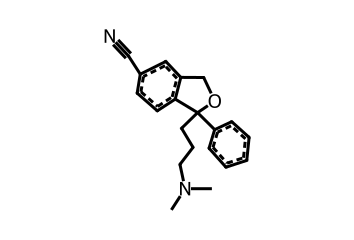 CN(C)CCCC1(c2ccccc2)OCc2cc(C#N)ccc21